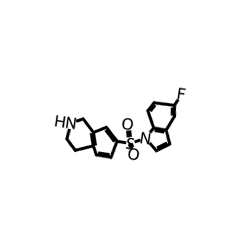 O=S(=O)(c1ccc2c(c1)CNCC2)n1ccc2cc(F)ccc21